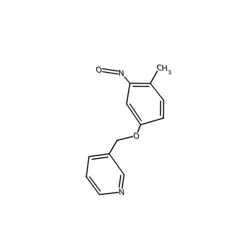 Cc1ccc(OCc2cccnc2)cc1N=O